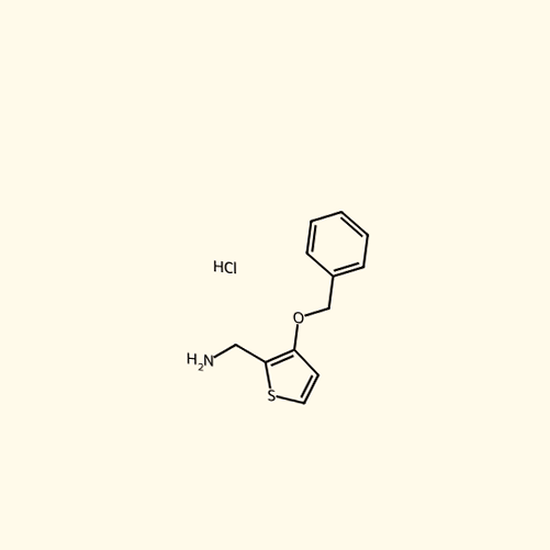 Cl.NCc1sccc1OCc1ccccc1